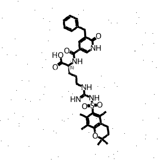 Cc1c(C)c(S(=O)(=O)NC(=N)NCCC[C@H](NC(=O)c2c[nH]c(=O)c(Cc3ccccc3)c2)C(=O)O)c(C)c2c1OC(C)(C)CC2